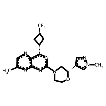 Cc1cnc2c(n1)nc(N1CCO[C@@H](c3cnn(C)c3)C1)nc2[C@H]1C[C@H](C(F)(F)F)C1